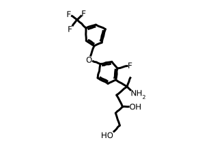 CC(N)(CC(O)CCO)c1ccc(Oc2cccc(C(F)(F)F)c2)cc1F